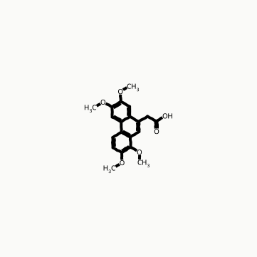 COc1cc2c(CC(=O)O)cc3c(OC)c(OC)ccc3c2cc1OC